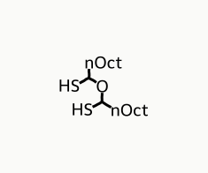 CCCCCCCCC(S)OC(S)CCCCCCCC